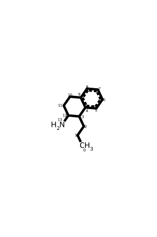 CCCC1c2ccccc2CCC1N